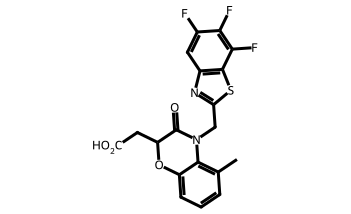 Cc1cccc2c1N(Cc1nc3cc(F)c(F)c(F)c3s1)C(=O)C(CC(=O)O)O2